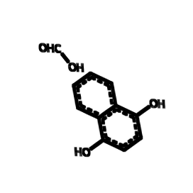 O=CO.Oc1ccc(O)c2ccccc12